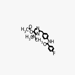 CC(=O)Oc1cnc(Cc2ccc(NC(=O)c3ccc(F)cc3)cc2)nc1N(C)C